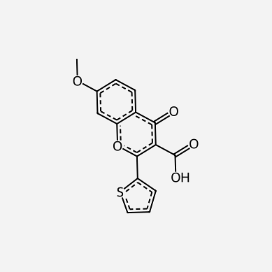 COc1ccc2c(=O)c(C(=O)O)c(-c3cccs3)oc2c1